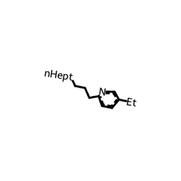 [CH2]Cc1ccc(CCCCCCCCCC)nc1